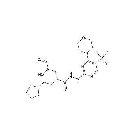 O=CN(O)C[C@@H](CCC1CCCC1)C(=O)NNc1ncc(C(F)(F)F)c(N2CCOCC2)n1